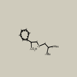 CCCCCCC(CCCC)CSCC(C(=O)O)c1ccccc1